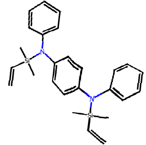 C=C[Si](C)(C)N(c1ccccc1)c1ccc(N(c2ccccc2)[Si](C)(C)C=C)cc1